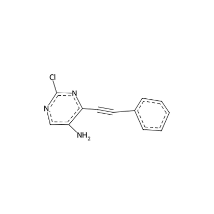 Nc1cnc(Cl)nc1C#Cc1ccccc1